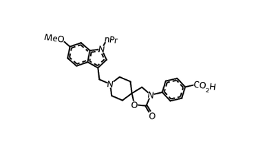 CCCn1cc(CN2CCC3(CC2)CN(c2ccc(C(=O)O)cc2)C(=O)O3)c2ccc(OC)cc21